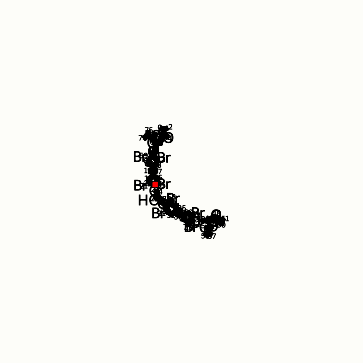 C=C(C)C(=O)OCC(COc1c(Br)cc(C(C)(C)c2cc(Br)c(OCC(O)COc3c(Br)cc(C(C)(C)c4cc(Br)c(OCC(COC(=O)C(=C)C)OC(=O)C(=C)C)c(Br)c4)cc3Br)c(Br)c2)cc1Br)OC(=O)C(=C)C